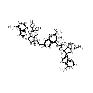 C=C[C@@]1(F)C[C@@H](n2ccc3c(N)ncnc32)[C@@H]2OC(C)(Cc3cc(N)nc4cc(CC[C@@]5(F)CC[C@@]6(n7ccc8c(N)ncnc87)OC(C)(C)O[C@H]56)ccc34)O[C@@H]21